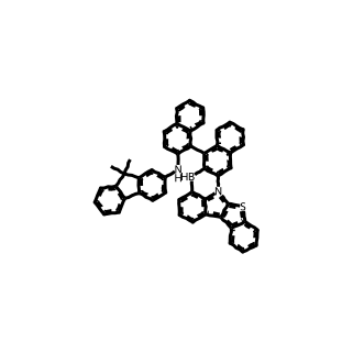 CC1(C)c2ccccc2-c2ccc(Nc3ccc4ccccc4c3-c3c4c(cc5ccccc35)-n3c5sc6ccccc6c5c5cccc(c53)B4)cc21